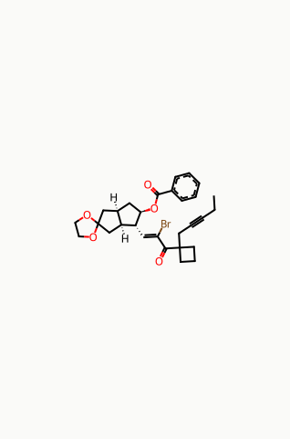 CCC#CCC1(C(=O)/C(Br)=C/[C@@H]2[C@H]3CC4(C[C@H]3C[C@H]2OC(=O)c2ccccc2)OCCO4)CCC1